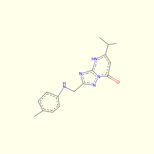 Cc1ccc(NCc2nc3[nH]c(C(C)C)cc(=O)n3n2)cc1